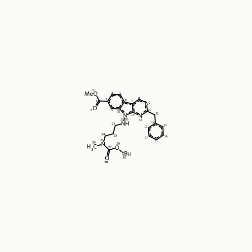 COC(=O)c1ccc2c3cnc(Cc4ccccc4)nc3n(NCCCN(C)C(=O)OC(C)(C)C)c2c1